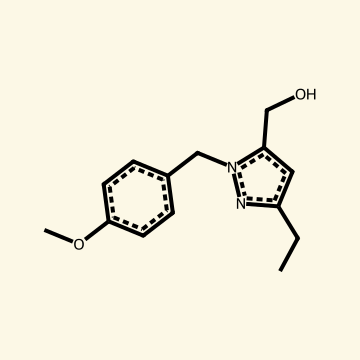 CCc1cc(CO)n(Cc2ccc(OC)cc2)n1